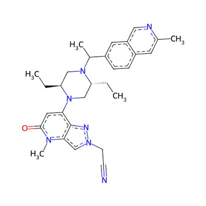 CC[C@H]1CN(C(C)c2ccc3cc(C)ncc3c2)[C@H](CC)CN1c1cc(=O)n(C)c2cn(CC#N)nc12